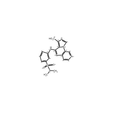 CN(C)S(=O)(=O)c1cccc(Nc2nc3ccncc3n3cnc(C(=O)O)c23)c1